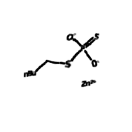 CCCCCSP([O-])([O-])=S.[Zn+2]